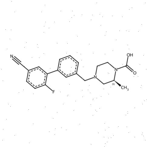 C[C@H]1CN(Cc2cccc(-c3cc(C#N)ccc3F)c2)CCN1C(=O)O